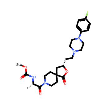 C[C@H](NC(=O)OC(C)(C)C)C(=O)N1CCC2(CC1)C[C@H](CCN1CCN(c3ccc(F)cc3)CC1)OC2=O